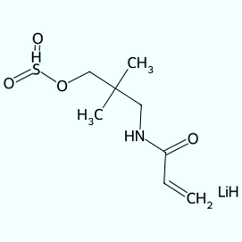 C=CC(=O)NCC(C)(C)CO[SH](=O)=O.[LiH]